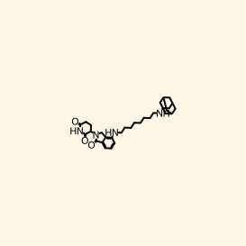 O=C1CCC(N2Cc3c(NCCCCCCCCNC45CC6CC(CC(C6)C4)C5)cccc3C2=O)C(=O)N1